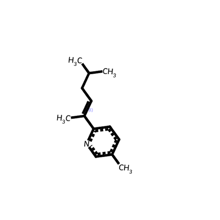 C/C(=C\CC(C)C)c1ccc(C)cn1